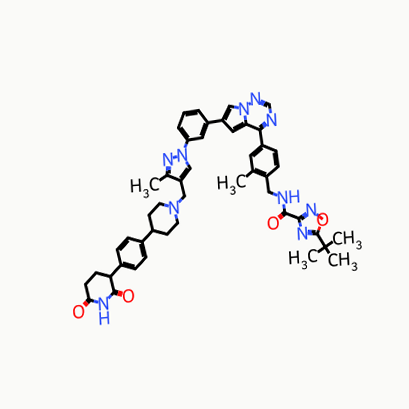 Cc1cc(-c2ncnn3cc(-c4cccc(-n5cc(CN6CCC(c7ccc(C8CCC(=O)NC8=O)cc7)CC6)c(C)n5)c4)cc23)ccc1CNC(=O)c1noc(C(C)(C)C)n1